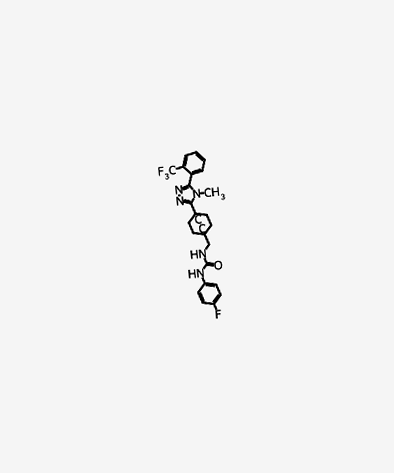 Cn1c(-c2ccccc2C(F)(F)F)nnc1C12CCC(CNC(=O)Nc3ccc(F)cc3)(CC1)CC2